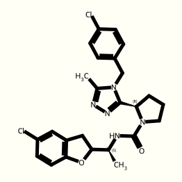 Cc1nnc([C@H]2CCCN2C(=O)N[C@@H](C)C2Cc3cc(Cl)ccc3O2)n1Cc1ccc(Cl)cc1